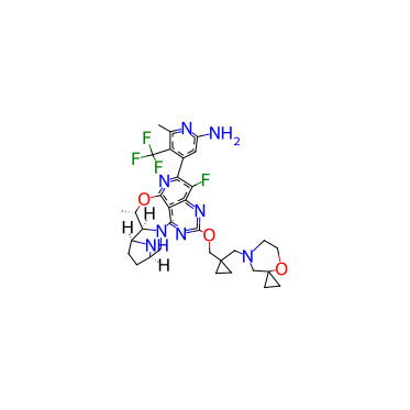 Cc1nc(N)cc(-c2nc3c4c(nc(OCC5(CN6CCOC7(CC7)C6)CC5)nc4c2F)N2C[C@H]4CC[C@H](N4)[C@H]2[C@H](C)O3)c1C(F)(F)F